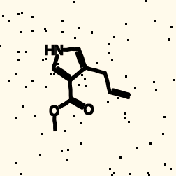 C=CCc1c[nH]cc1C(=O)OC